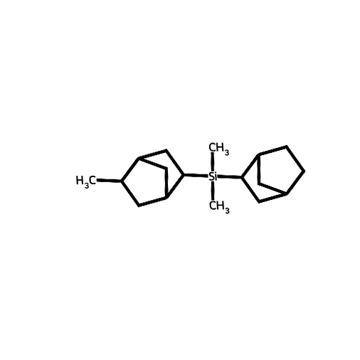 CC1CC2CC1CC2[Si](C)(C)C1CC2CCC1C2